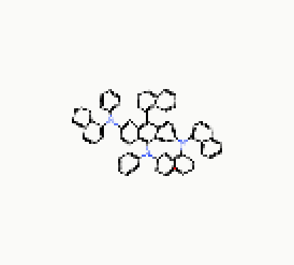 C1=c2ccccc2=C(c2c3cc(N(c4ccccc4)c4cccc5ccccc45)ccc3c(N(c3ccccc3)c3ccccc3)c3cc(N(c4ccccc4)c4cccc5ccccc45)ccc23)CC1